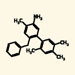 Cc1cc(C)c(-c2cc(N)c(C)cc2Cc2ccccc2)cc1C